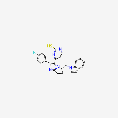 Fc1ccc(-c2nc3n(c2-c2ccnc(S)n2)C(Cn2ccc4ccccc42)CC3)cc1